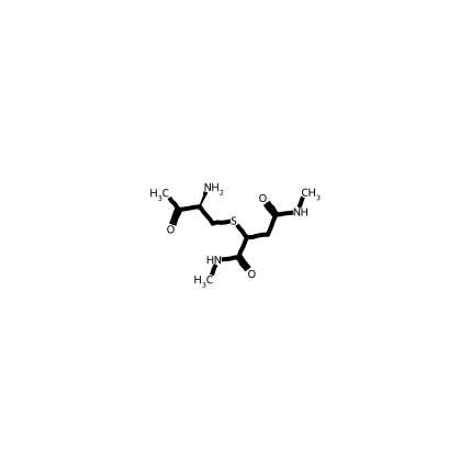 CNC(=O)CC(SC[C@H](N)C(C)=O)C(=O)NC